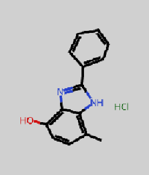 Cc1ccc(O)c2nc(-c3ccccc3)[nH]c12.Cl